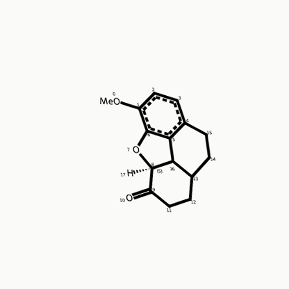 COc1ccc2c3c1O[C@@H]1C(=O)CCC(CC2)C31